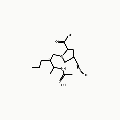 CCC[C@@H](CN1CC(C=NO)CC1C(=O)O)C(C)NC(C)=O.Cl